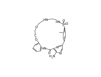 CC1CC2=CC=C1S(=O)(=O)NCCNCCOCCOc1ccccc1NC(=O)c1nc2cnc1N